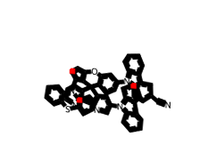 N#Cc1ccc2c(c1)c1ccccc1n2-c1ccc2c(c1)Oc1cccc(N3c4ccccc4Sc4ccccc43)c1C21c2cccnc2-c2ncc(-n3c4ccccc4c4ccccc43)cc21